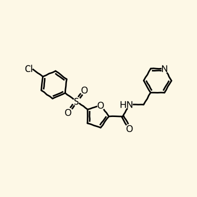 O=C(NCc1ccncc1)c1ccc(S(=O)(=O)c2ccc(Cl)cc2)o1